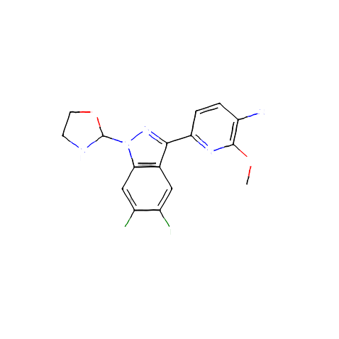 COc1nc(-c2nn(C3NCCO3)c3cc(F)c(F)cc23)ccc1N